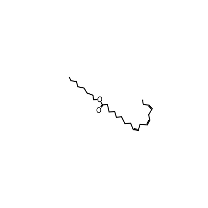 CC/C=C\C/C=C\C/C=C\CCCCCCCC(=O)OCCCCCCCC